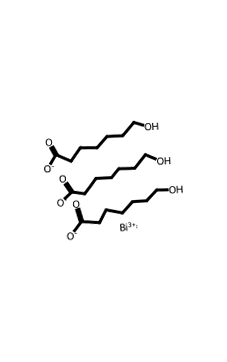 O=C([O-])CCCCCCO.O=C([O-])CCCCCCO.O=C([O-])CCCCCCO.[Bi+3]